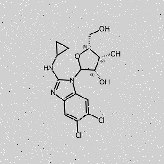 OC[C@H]1OC(n2c(NC3CC3)nc3cc(Cl)c(Cl)cc32)[C@@H](O)[C@H]1O